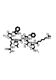 CNC(=N)NCCC[C@H](NC(=O)[C@H](CC(C)C)NC(=O)NNC(=O)[C@H](Cc1ccccc1)NC(=O)[C@@H](NC(=O)[C@H](CC(N)=O)NC(=O)CCCCCNC(C)=O)[C@@H](C)O)C(=O)N[C@@H](Cc1c[nH]c2ccccc12)C(N)=O